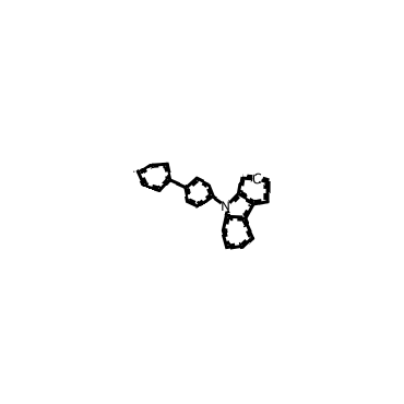 [c]1ccc(-c2ccc(-n3c4ccccc4c4ccccc43)cc2)cc1